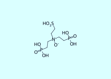 O=P(O)(O)CC[N+]([O-])(CCP(=O)(O)O)CCS(=O)(=O)O